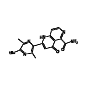 Cc1nc(C(C)(C)C)c(C)nc1-c1cc(=O)c2c(C(N)=O)nccc2[nH]1